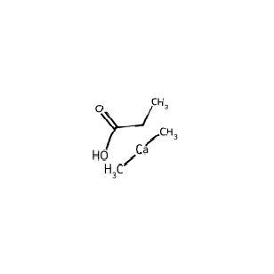 CCC(=O)O.[CH3][Ca][CH3]